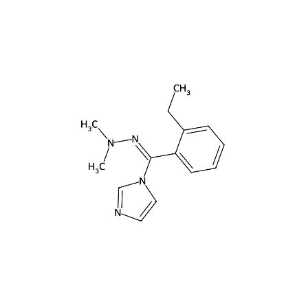 CCc1ccccc1C(=NN(C)C)n1ccnc1